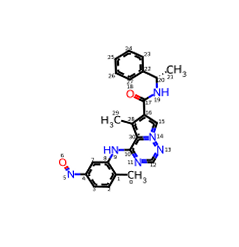 Cc1ccc(N=O)cc1Nc1ncnn2cc(C(=O)N[C@@H](C)c3ccccc3)c(C)c12